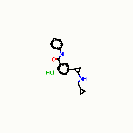 Cl.O=C(Nc1ccccc1)c1cccc(C2CC2NCC2CC2)c1